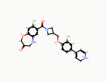 O=C1CNc2cc(C(=O)N3CC(COc4ccc(C5=CCNC=C5)cc4F)C3)c(F)cc2OC1